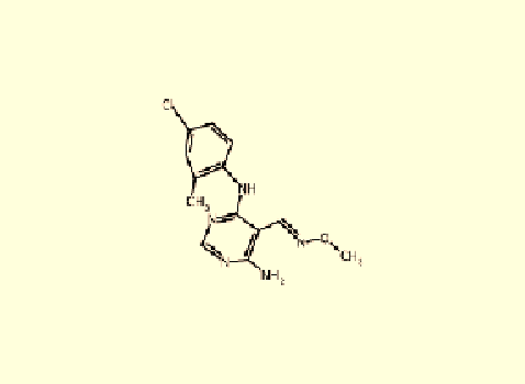 CON=Cc1c(N)ncnc1Nc1ccc(Cl)cc1C